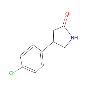 O=C1CC(c2ccc(Cl)cc2)CN1